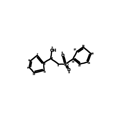 O=S(=O)(CC(O)c1ccccc1)c1ccccc1